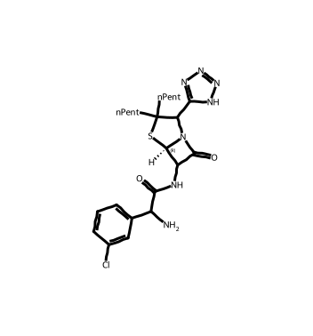 CCCCCC1(CCCCC)S[C@@H]2C(NC(=O)C(N)c3cccc(Cl)c3)C(=O)N2C1c1nnn[nH]1